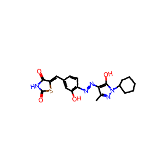 Cc1nn(C2CCCCC2)c(O)c1/N=N/c1ccc(/C=C2\SC(=O)NC2=O)cc1O